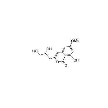 COc1cc(O)c2c(=O)oc(C[C@@H](O)CO)cc2c1